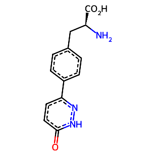 N[C@@H](Cc1ccc(-c2ccc(=O)[nH]n2)cc1)C(=O)O